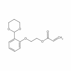 C=CC(=O)OCCOc1ccccc1C1OCCCO1